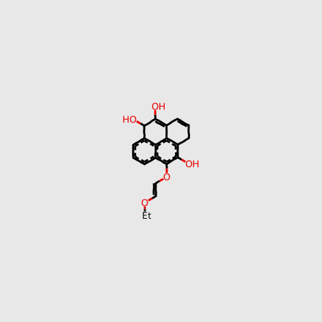 CCO/C=C/Oc1c(O)c2c3c4c(cccc14)C(O)C(O)=C3C=CC2